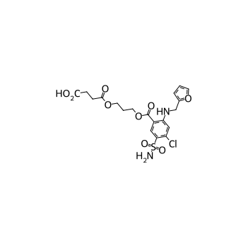 NS(=O)(=O)c1cc(C(=O)OCCCOC(=O)CCC(=O)O)c(NCc2ccco2)cc1Cl